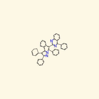 C1=CCCC(c2c(-c3ccccc3)nn3c(-c4ccccc4)c(-c4nc(-c5ccccc5)c5ccccc5n4)c4ccccc4c23)=C1